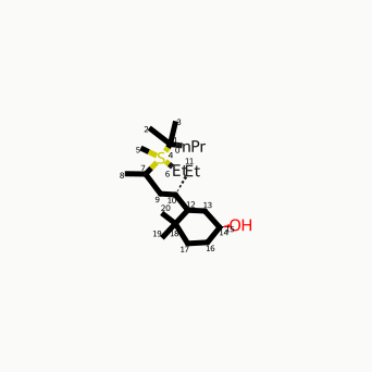 CCCC(C)(C)S(C)(CC)C(C)C[C@H](CC)C1C[C@H](O)CCC1(C)C